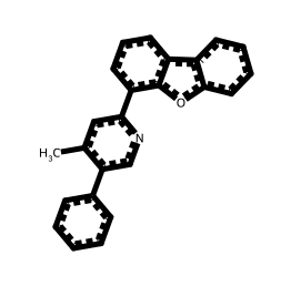 Cc1cc(-c2cccc3c2oc2ccccc23)ncc1-c1ccccc1